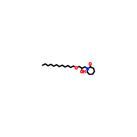 CCCCCCCCCCCCOCC(O)CN1CCCCCC1=O